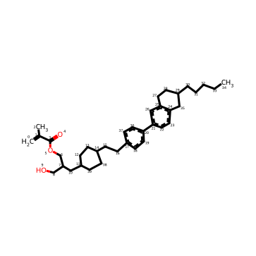 C=C(C)C(=O)OCC(CO)CC1CCC(CCc2ccc(-c3ccc4c(c3)CCC(CCCCC)C4)cc2)CC1